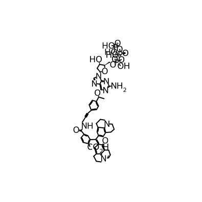 CC(Oc1nc(N)nc2c1ncn2[C@H]1C[C@@H](O)[C@@H](COP(=O)(O)OP(=O)(O)OP(=O)(O)O)O1)c1ccc(C#CCNC(=O)c2ccc(C(=O)O)c(C3=c4cc5c6c(c4Oc4c3cc3c7c4CCCN7CCC3)CCC[N+]=6CCC5)c2)cc1